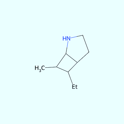 CCC1C(C)C2NCCC12